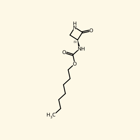 CCCCCCCOC(=O)N[C@H]1CNC1=O